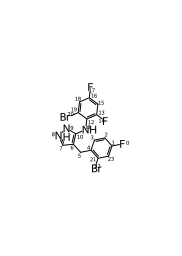 Fc1ccc(Cc2cn[nH]c2Nc2c(F)cc(F)cc2Br)c(Br)c1